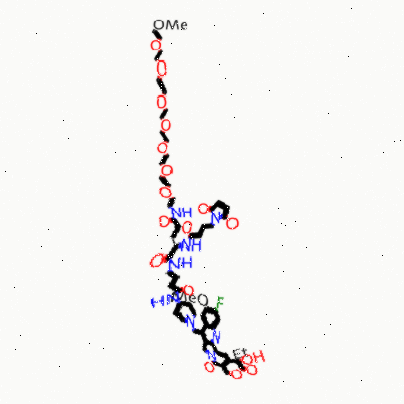 CC[C@@]1(O)C(=O)OCc2c1cc1n(c2=O)Cc2c-1nc1cc(F)c(OC)cc1c2CN1CCC(NC(=O)CCCNC(=O)[C@H](CCC(=O)NCCOCCOCCOCCOCCOCCOCCOCCOC)NC(=O)CCCN2C(=O)C=CC2=O)CC1